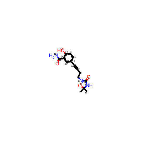 CC1(C)NC(=O)N(CCC#Cc2ccc(O)c(C(N)=O)c2)O1